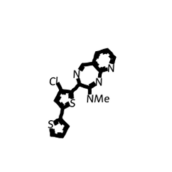 CNC1=Nc2ncccc2C=NC1c1sc(-c2cccs2)cc1Cl